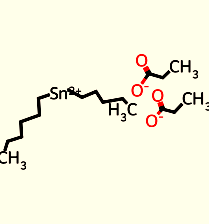 CCC(=O)[O-].CCC(=O)[O-].CCCCC[CH2][Sn+2][CH2]CCCCC